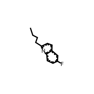 CCCCc1ccc2cc(F)ccc2n1